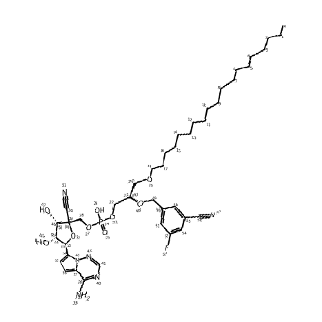 CCCCCCCCCCCCCCCCCCCOC[C@H](COP(=O)(O)OC[C@@]1(C#N)O[C@@H](c2ccc3c(N)ncnn23)[C@H](O)[C@@H]1O)OCc1cc(F)cc(C#N)c1